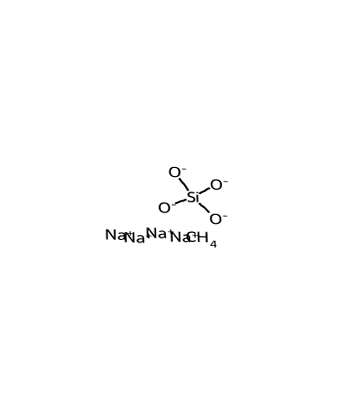 C.[Na+].[Na+].[Na+].[Na+].[O-][Si]([O-])([O-])[O-]